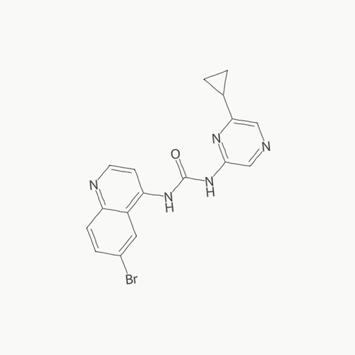 O=C(Nc1cncc(C2CC2)n1)Nc1ccnc2ccc(Br)cc12